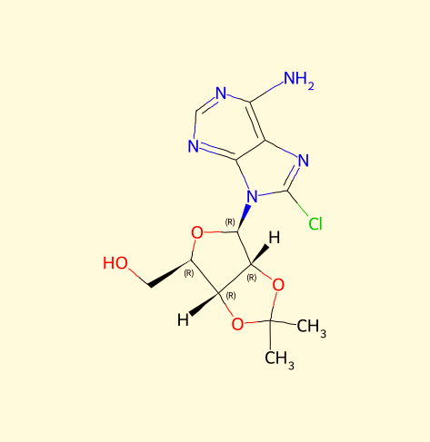 CC1(C)O[C@@H]2[C@H](O1)[C@@H](CO)O[C@H]2n1c(Cl)nc2c(N)ncnc21